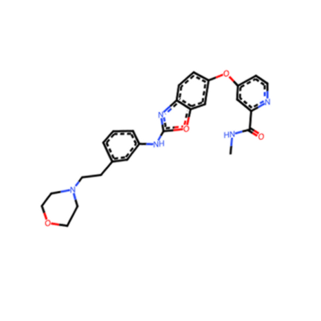 CNC(=O)c1cc(Oc2ccc3nc(Nc4cccc(CCN5CCOCC5)c4)oc3c2)ccn1